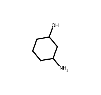 NC1[CH]CCC(O)C1